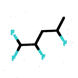 CC(F)CC(F)C(F)F